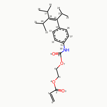 C=CC(=O)OCCOC(=O)Nc1ccc(C(=C(C(C)C)C(C)C)C(C)C)cc1